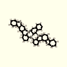 c1ccc2c3c4c(cc2c1)-n1c2cc5sc6ccccc6c5cc2c2cccc(c21)B4c1cccc2c4c5sc6ccccc6c5ccc4n-3c12